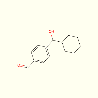 O=Cc1ccc(C(O)C2CCCCC2)cc1